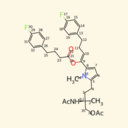 CC(=O)N[C@](C)(CCc1ccc(C(=CCCc2ccc(F)cc2)OC(=O)CCCc2ccc(F)cc2)n1C)COC(C)=O